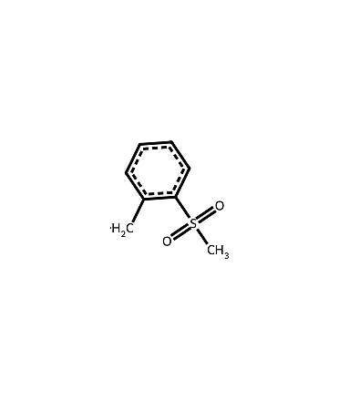 [CH2]c1ccccc1S(C)(=O)=O